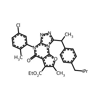 CCOC(=O)c1c(C)oc2c1c(=O)n(-c1cc(Cl)ccc1C)c1nnc(C(C)c3ccc(CC(C)C)cc3)n21